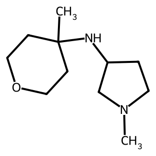 CN1CCC(NC2(C)CCOCC2)C1